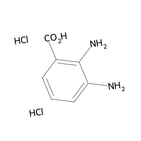 Cl.Cl.Nc1cccc(C(=O)O)c1N